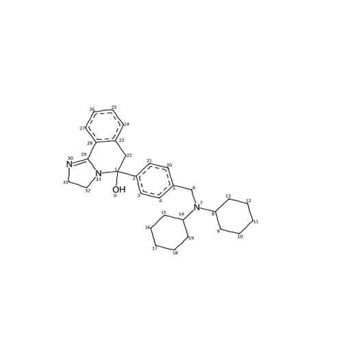 OC1(c2ccc(CN(C3CCCCC3)C3CCCCC3)cc2)Cc2ccccc2C2=NCCN21